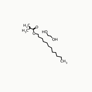 C=C(C)C(=O)OCCCCCCCCCCCC.OCCO